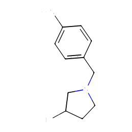 O=CC1CCN(Cc2ccc([N+](=O)[O-])cc2)C1